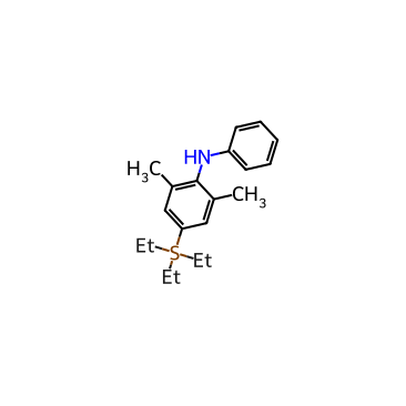 CCS(CC)(CC)c1cc(C)c(Nc2ccccc2)c(C)c1